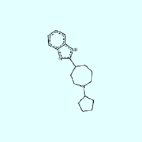 c1ccc2[nH]c(C3CCCN(C4CCCC4)CC3)nc2c1